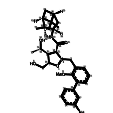 COc1c(CN2O[C@@H](CO)[C@@H]([C@H](C)O)[C@H]2C(=O)N[C@H]2C[C@H]3C[C@H]([C@@H]2C)C3(C)C)cccc1-c1cccc(N)c1